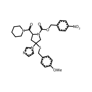 COc1ccc(CSC2(n3ccnc3)CC(C(=O)N3CCCCC3)N(C(=O)OCc3ccc([N+](=O)[O-])cc3)C2)cc1